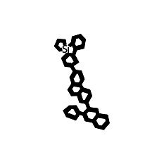 c1ccc(-c2cc3ccccc3cc2-c2ccc3c(ccc4cc(-c5ccc6c(c5)-c5ccccc5[Si]65CCCC5)ccc43)c2)cc1